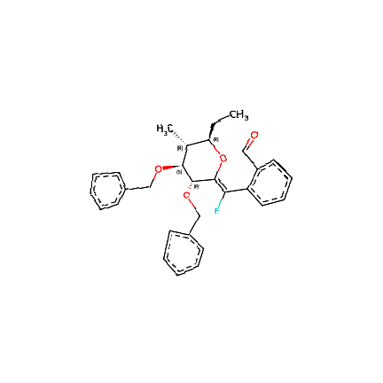 CC[C@H]1OC(=C(F)c2ccccc2C=O)[C@H](OCc2ccccc2)[C@@H](OCc2ccccc2)[C@@H]1C